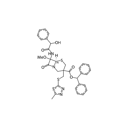 COC1(NC(=O)C(O)c2ccccc2)C(=O)N2CC(CSc3nnc(C)s3)(C(=O)OC(c3ccccc3)c3ccccc3)CS[C@@H]21